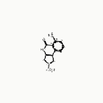 O=C1NC2CN(C(=O)O)CC2c2cccc(C(F)(F)F)c21